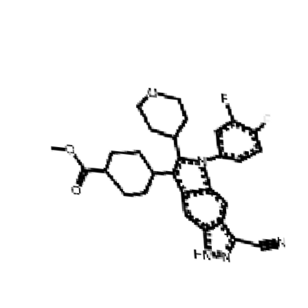 COC(=O)C1CCC(c2c(C3CCOCC3)n(-c3ccc(F)c(F)c3)c3cc4c(C#N)n[nH]c4cc23)CC1